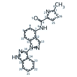 Cc1nc(C(=O)Nc2cccc3c2cnn3-c2n[nH]c3ccccc23)cs1